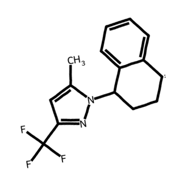 Cc1cc(C(F)(F)F)nn1C1CC[C]c2ccccc21